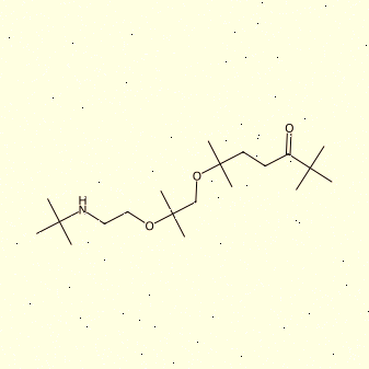 CC(C)(C)NCCOC(C)(C)COC(C)(C)CCC(=O)C(C)(C)C